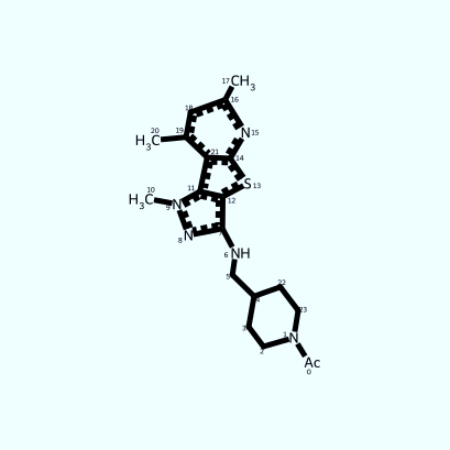 CC(=O)N1CCC(CNc2nn(C)c3c2sc2nc(C)cc(C)c23)CC1